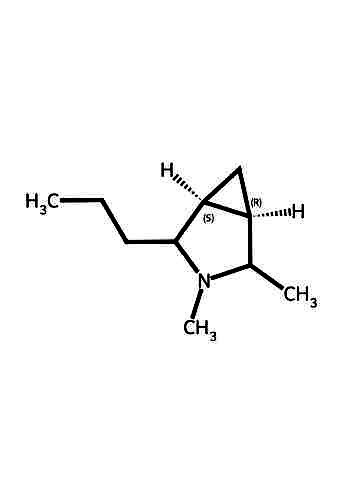 CCCC1[C@H]2C[C@H]2C(C)N1C